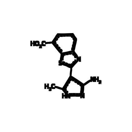 Cc1[nH]nc(N)c1-c1nc2cccc(C(=O)O)c2s1